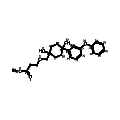 COC(=O)CCOCC1(O)CCC(C)(c2cccc(Oc3ccccc3)c2)CC1